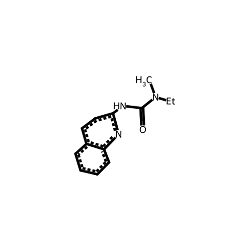 CCN(C)C(=O)Nc1ccc2ccccc2n1